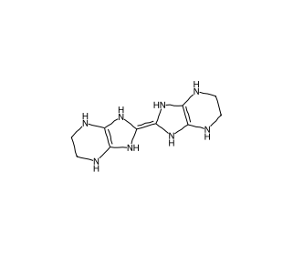 C1CNC2=C(N1)NC(=C1NC3=C(NCCN3)N1)N2